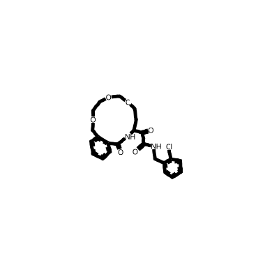 O=C(NCc1ccccc1Cl)C(=O)C1CCCCOCCOCc2ccccc2C(=O)N1